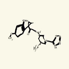 COc1cc(OC(F)(F)F)ccc1C1(C(=O)N[C@@H]2C[C@H](C)CN(c3nnn[nH]3)C2)CC1